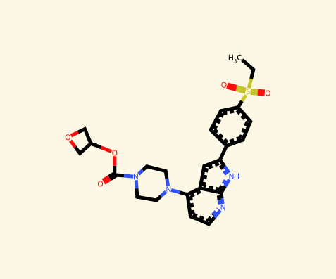 CCS(=O)(=O)c1ccc(-c2cc3c(N4CCN(C(=O)OC5COC5)CC4)ccnc3[nH]2)cc1